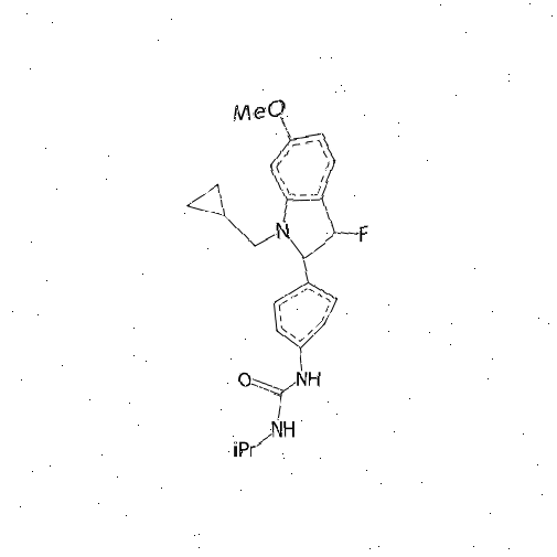 COc1ccc2c(c1)N(CC1CC1)C(c1ccc(NC(=O)NC(C)C)cc1)C2F